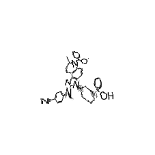 COC(=O)N1c2ccc3c(nc(N(C)c4ccc(C#N)cc4)n3[C@@H]3CCC[C@@H](C(=O)O)C3)c2CCC1C